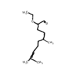 CCOC(C=O)CCC(C)CCC=C(C)C